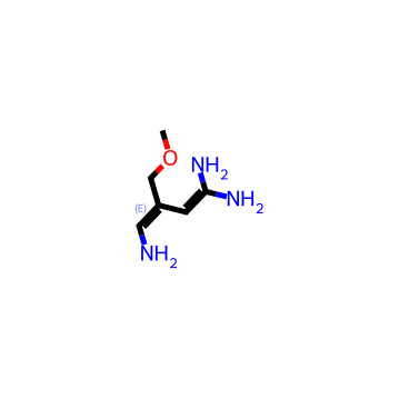 COC/C(C=C(N)N)=C/N